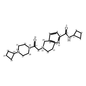 O=C(NC1CCC1)c1ccc2c(n1)CCN(CC(=O)N1CCN(C3CCC3)CC1)C2